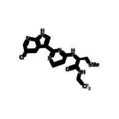 CSC[C@H](Nc1ccnc(-c2c[nH]c3ncc(Cl)cc23)n1)C(=O)NCC(F)(F)F